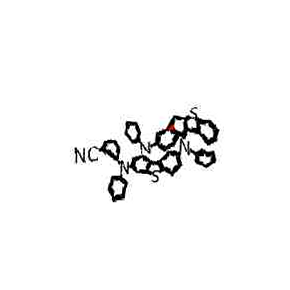 N#Cc1cccc(N(c2ccccc2)c2cc(N(c3ccccc3)c3ccccc3)c3c(c2)sc2ccc(N(c4ccccc4)c4cccc5sc6ccccc6c45)cc23)c1